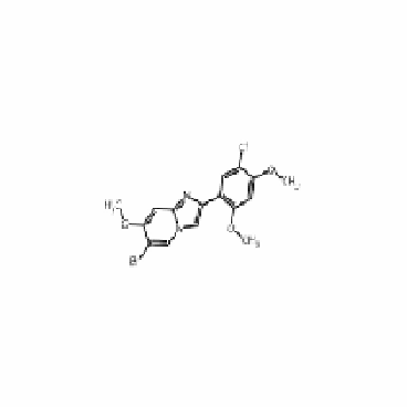 COc1cc(OC)c(-c2cn3cc(Br)c(OC)cc3n2)cc1Cl